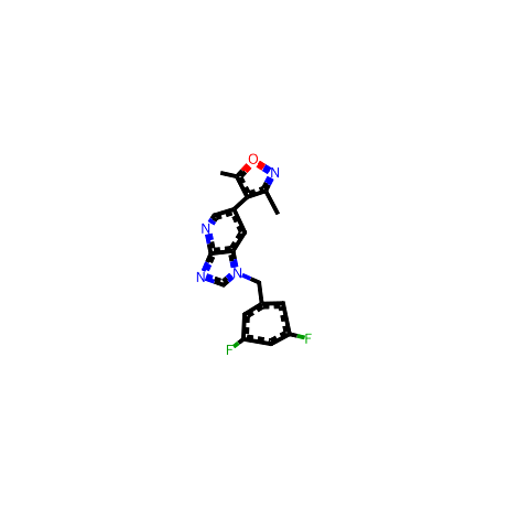 Cc1noc(C)c1-c1cnc2ncn(Cc3cc(F)cc(F)c3)c2c1